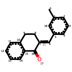 Cc1cccc(/C=C2\CCc3ccccc3C2=O)c1